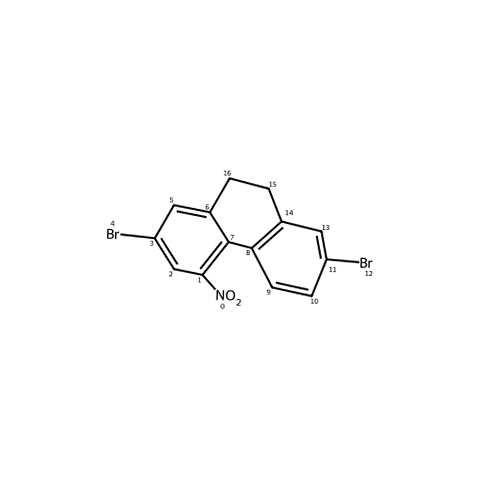 O=[N+]([O-])c1cc(Br)cc2c1-c1ccc(Br)cc1CC2